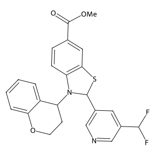 COC(=O)c1ccc2c(c1)SC(c1cncc(C(F)F)c1)N2C1CCOc2ccccc21